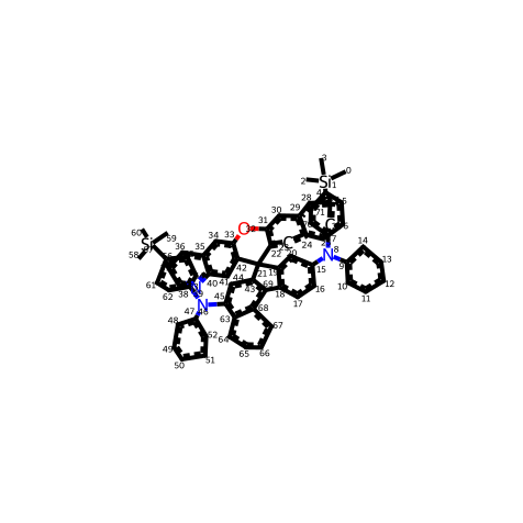 C[Si](C)(C)c1ccc(N(c2ccccc2)c2ccc3c(c2)C2(c4cc5ccccc5cc4Oc4cc5cccnc5cc42)c2cc(N(c4ccccc4)c4ccc([Si](C)(C)C)cc4)c4ccccc4c2-3)cc1